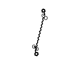 O=C(CCCCCCCCCCCCCCCCCCC(=O)OCc1ccccc1)OCc1ccccc1